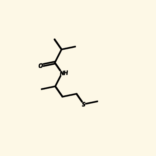 CSCCC(C)NC(=O)C(C)C